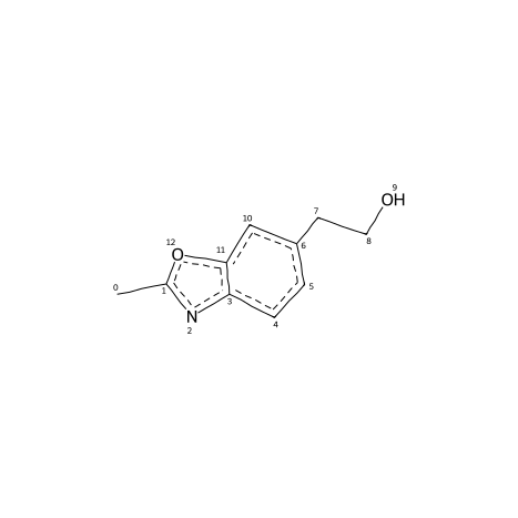 Cc1nc2ccc(CCO)cc2o1